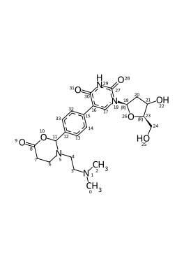 CN(C)CCN1CCC(=O)OC1c1ccc(-c2cn([C@H]3CC(O)[C@@H](CO)O3)c(=O)[nH]c2=O)cc1